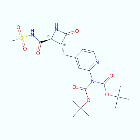 CC(C)(C)OC(=O)N(C(=O)OC(C)(C)C)c1cc(C[C@H]2C(=O)N[C@@H]2C(=O)NS(C)(=O)=O)ccn1